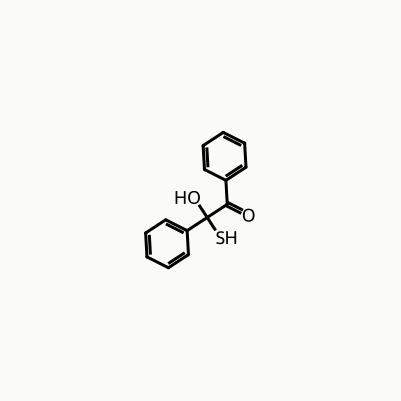 O=C(c1ccccc1)C(O)(S)c1ccccc1